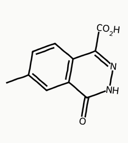 Cc1ccc2c(C(=O)O)n[nH]c(=O)c2c1